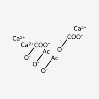 CC(=O)[O-].CC(=O)[O-].O=C([O-])[O-].O=C([O-])[O-].[Ca+2].[Ca+2].[Ca+2]